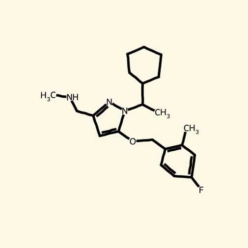 CNCc1cc(OCc2ccc(F)cc2C)n(C(C)C2CCCCC2)n1